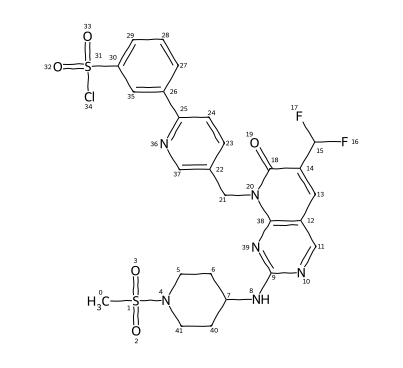 CS(=O)(=O)N1CCC(Nc2ncc3cc(C(F)F)c(=O)n(Cc4ccc(-c5cccc(S(=O)(=O)Cl)c5)nc4)c3n2)CC1